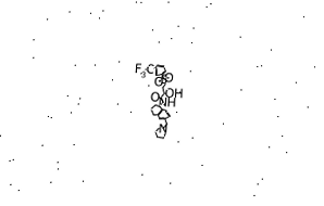 O=C(N[C@@H]1CCCc2cc(CN3CCCCC3)ccc21)C(O)CCS(=O)(=O)c1cccc(C(F)(F)F)c1